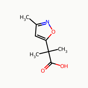 Cc1cc(C(C)(C)C(=O)O)on1